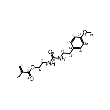 C=C(C)C(=O)OCCNC(=O)NCCc1ccc(OC)cc1